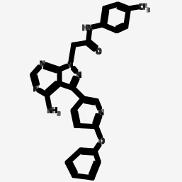 Nc1ncnc2c1c(-c1ccc(Oc3ccccc3)nc1)nn2CC(=O)Nc1ccc(C(F)(F)F)cc1